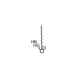 CCCCCCCCCCCCCCC1(Cl)CCCCC1CCO.CNC